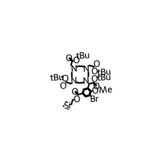 COc1c(Br)cc(C(=O)OCC[Si](C)(C)C)cc1C(C(=O)OC(C)(C)C)N1CCN(CC(=O)OC(C)(C)C)CCN(CC(=O)OC(C)(C)C)CCN(CC(=O)OC(C)(C)C)CC1